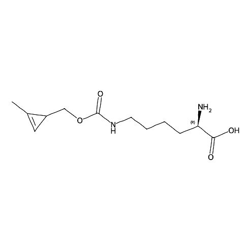 CC1=CC1COC(=O)NCCCC[C@@H](N)C(=O)O